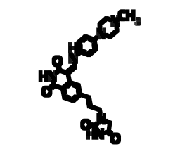 CN1CCN(c2ccc(NC=C3C(=O)NC(=O)c4ccc(C=CCN5CC(=O)NC5=O)cc43)cc2)CC1